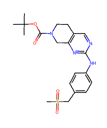 CC(C)(C)OC(=O)N1CCc2cnc(Nc3ccc(CS(C)(=O)=O)cc3)nc2C1